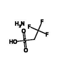 N.O=S(=O)(O)CC(F)(F)F